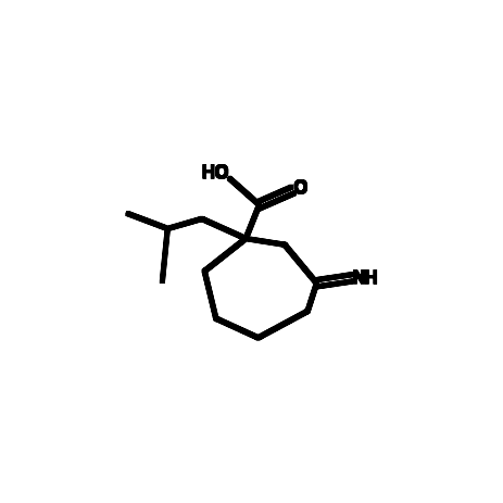 CC(C)CC1(C(=O)O)CCCCC(=N)C1